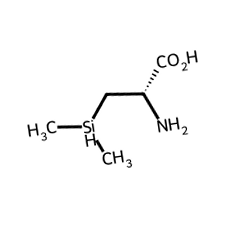 C[SiH](C)C[C@@H](N)C(=O)O